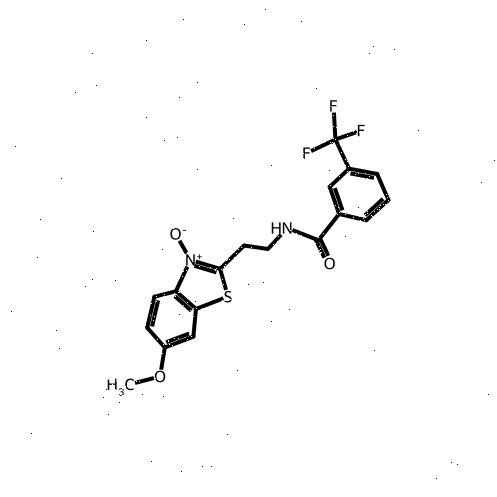 COc1ccc2c(c1)sc(CCNC(=O)c1cccc(C(F)(F)F)c1)[n+]2[O-]